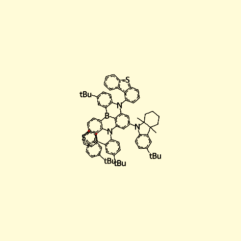 CC(C)(C)c1ccc2c(c1)B1c3ccc4sc5ccc(C(C)(C)C)cc5c4c3N(c3ccc(C(C)(C)C)cc3-c3ccccc3)c3cc(N4c5ccc(C(C)(C)C)cc5C5(C)CCCCC45C)cc(c31)N2c1cccc2sc3ccccc3c12